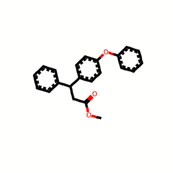 COC(=O)CC(c1ccccc1)c1ccc(Oc2ccccc2)cc1